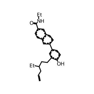 C=CCC(CC)CCc1cc(-c2ccc3cc(C(=O)NCC)ccc3c2)ccc1O